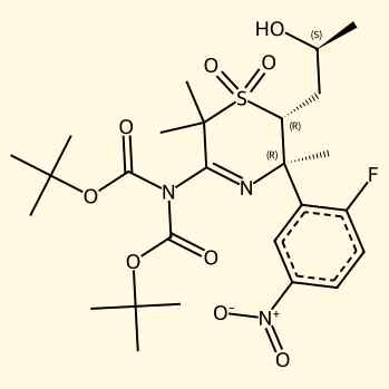 C[C@H](O)C[C@@H]1[C@@](C)(c2cc([N+](=O)[O-])ccc2F)N=C(N(C(=O)OC(C)(C)C)C(=O)OC(C)(C)C)C(C)(C)S1(=O)=O